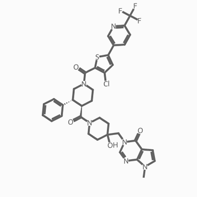 Cn1ccc2c(=O)n(CC3(O)CCN(C(=O)[C@@H]4CCN(C(=O)c5sc(-c6ccc(C(F)(F)F)nc6)cc5Cl)C[C@H]4c4ccccc4)CC3)cnc21